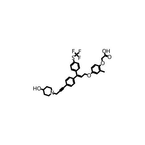 Cc1cc(OCC=C(c2ccc(C#CCN3CCC(O)CC3)cc2)c2ccc(SC(F)(F)F)cc2)ccc1OCC(=O)O